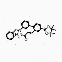 CC1(C)OB(c2ccc(-c3cccc(OCc4ccccc4)c3)c(/C=C/C(N)=O)c2)OC1(C)C